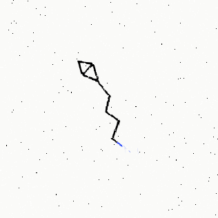 NCCCCC1C2CC12